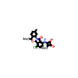 COC(=O)c1ccc(C)cc1N1Cc2c(Cl)ccc(Nc3c(OC)c(=O)c3=O)c2C1=O